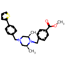 COC(=O)c1ccc(CN2[C@H](C)CN(Cc3ccc(-c4cccs4)cc3)C[C@@H]2C)cc1